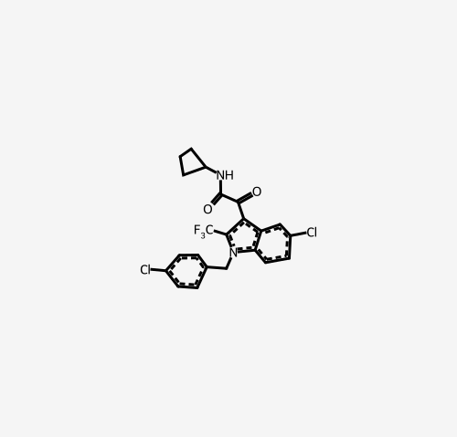 O=C(NC1CCC1)C(=O)c1c(C(F)(F)F)n(Cc2ccc(Cl)cc2)c2ccc(Cl)cc12